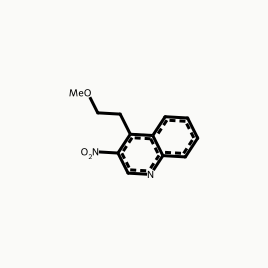 COCCc1c([N+](=O)[O-])cnc2ccccc12